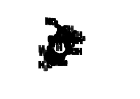 CCn1c(-c2cccnc2[C@H](C)OC)c2c3cc(ccc31)-c1cc(O)cc(c1)C[C@H](NC(=O)C(C(C)C)N(C)C(=O)CN(C)C(=O)[C@@H]1CN1CCCC#N)C(=O)N1CCC[C@H](N1)C(=O)OCC(C)(C)C2